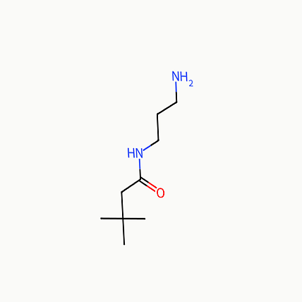 CC(C)(C)CC(=O)NCCCN